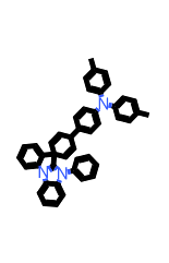 Cc1ccc(N(c2ccc(C)cc2)c2ccc(C3C=CC(c4ccccc4)(c4nc5ccccc5n4-c4ccccc4)C=C3)cc2)cc1